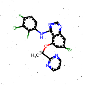 C[C@H](Oc1cc(Br)cc2ncnc(Nc3ccc(F)c(Cl)c3F)c12)c1ncccn1